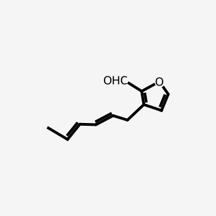 C/C=C/C=C/Cc1ccoc1C=O